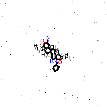 CC1(C)CC[C@]2(NC(=O)c3ccccc3)CC[C@]3(C)[C@H](C(=O)C=C4[C@@]5(C)C=C(C#N)C(=O)C(C)(C)[C@@H]5CC[C@]43C)[C@H]2C1